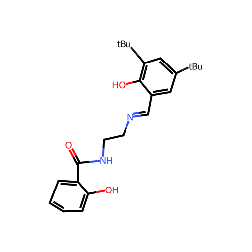 CC(C)(C)c1cc(C=NCCNC(=O)c2ccccc2O)c(O)c(C(C)(C)C)c1